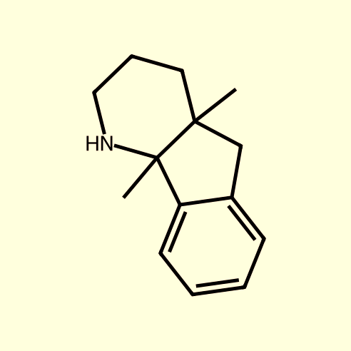 CC12CCCNC1(C)c1ccccc1C2